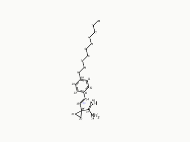 CCCCCCCCCCc1ccc(/C=C/C2(C(=N)N)CC2)cc1